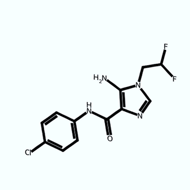 Nc1c(C(=O)Nc2ccc(Cl)cc2)ncn1CC(F)F